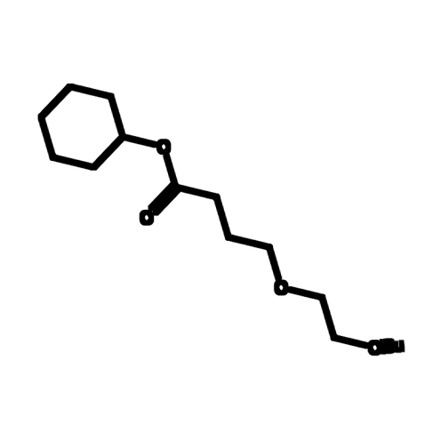 CC(C)COCCOCCCC(=O)OC1CCCCC1